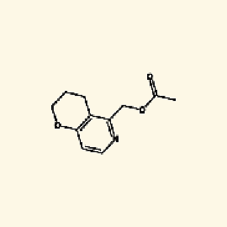 CC(=O)OCc1nccc2c1CCCO2